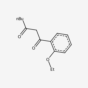 CCCCC(=O)CC(=O)c1ccccc1OCC